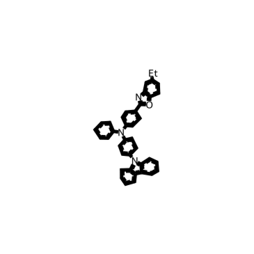 CCc1ccc2oc(-c3ccc(N(c4ccccc4)c4ccc(-n5c6ccccc6c6ccccc65)cc4)cc3)nc2c1